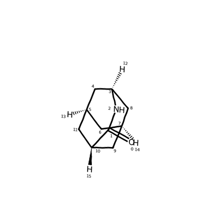 O=C1N[C@H]2C[C@H]3C[C@@H](C2)C[C@@H]1C3